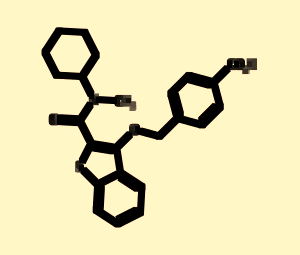 CN(C(=O)c1sc2ccccc2c1OCc1ccc(C(=O)O)cc1)C1CCCCC1